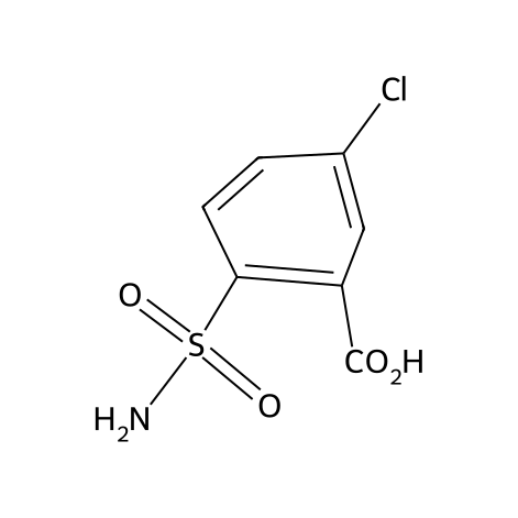 NS(=O)(=O)c1ccc(Cl)cc1C(=O)O